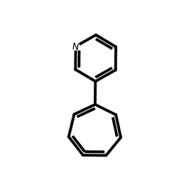 C1=CC=CC(c2cccnc2)=CC=1